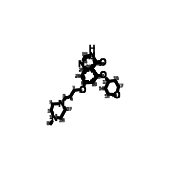 CN1CCN(CCCOc2cc(OC3CCOCC3)c3c(=O)[nH]cnc3c2)CC1